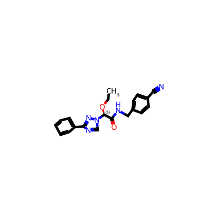 CCO[C@@H](C(=O)NCc1ccc(C#N)cc1)n1cnc(-c2ccccc2)n1